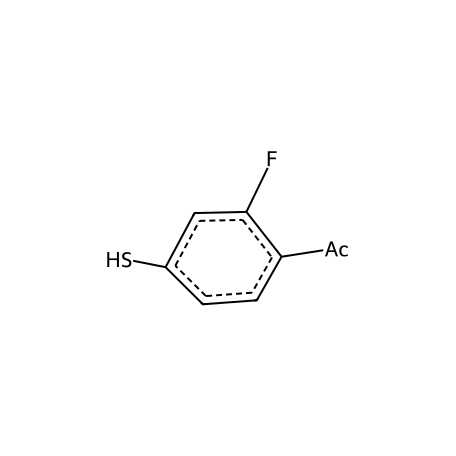 CC(=O)c1ccc(S)cc1F